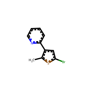 Cc1sc(Br)cc1-c1ccccn1